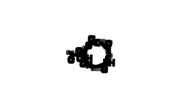 CC(=O)C(=O)O[C@H]1C(=O)NCCC(=O)NCCSC(=O)CCC(=O)OCC1(C)C